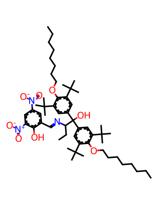 CCCCCCCCOc1c(C(C)(C)C)cc(C(O)(c2cc(C(C)(C)C)c(OCCCCCCCC)c(C(C)(C)C)c2)C(CC)N=Cc2cc([N+](=O)[O-])cc([N+](=O)[O-])c2O)cc1C(C)(C)C